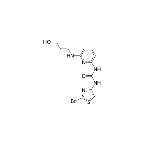 O=C(Nc1cccc(NCCCO)n1)Nc1csc(Br)n1